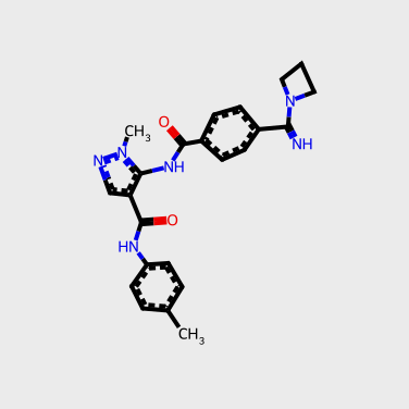 Cc1ccc(NC(=O)c2cnn(C)c2NC(=O)c2ccc(C(=N)N3CCC3)cc2)cc1